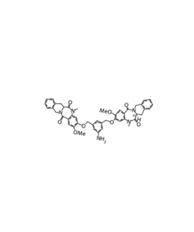 COc1cc2c(cc1OCc1cc(N)cc(COc3cc4c(cc3OC)C(=O)N3Cc5ccccc5C[C@H]3C(=O)N4C)c1)N(C)C(=O)C1Cc3ccccc3CN1C2=O